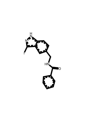 O=C(NCc1ccc2[nH]nc(I)c2c1)c1ccccc1